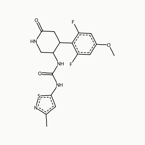 COc1cc(F)c(C2CC(=O)NCC2NC(=O)Nc2cc(C)ns2)c(F)c1